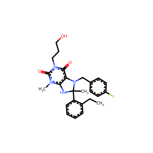 CCc1ccccc1C1(C)Nc2c(c(=O)n(CCCO)c(=O)n2C)N1Cc1ccc(F)cc1